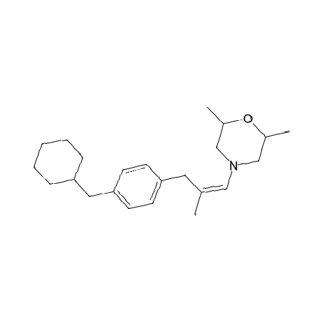 CC(=CN1CC(C)OC(C)C1)Cc1ccc(CC2CCCCC2)cc1